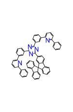 c1ccc(-c2cccc(-c3cccc(-c4nc(-c5cccc(-c6cccc(-c7ccccc7)n6)c5)nc(-c5ccc6c(c5)C5(c7ccccc7-c7ccccc75)c5ccccc5-6)n4)c3)n2)cc1